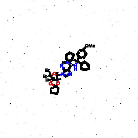 CCC1(CC)O[C@@H](n2cnc3c(NC(c4ccccc4)(c4ccccc4)c4ccc(OC)cc4)ncnc32)[C@]2(C)OC3(CCCC3)O[C@H]12